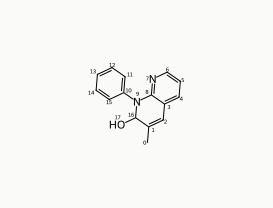 CC1=Cc2cccnc2N(c2ccccc2)C1O